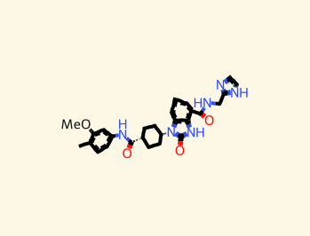 COc1cc(NC(=O)[C@H]2CC[C@@H](n3c(=O)[nH]c4c(C(=O)NCc5ncc[nH]5)cccc43)CC2)ccc1C